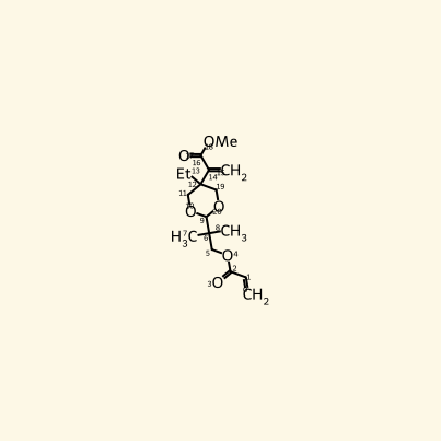 C=CC(=O)OCC(C)(C)C1OCC(CC)(C(=C)C(=O)OC)CO1